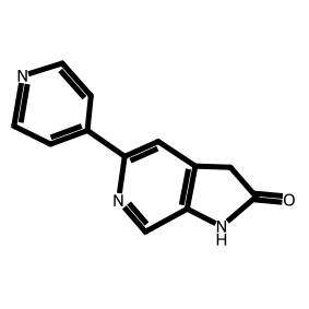 O=C1Cc2cc(-c3ccncc3)ncc2N1